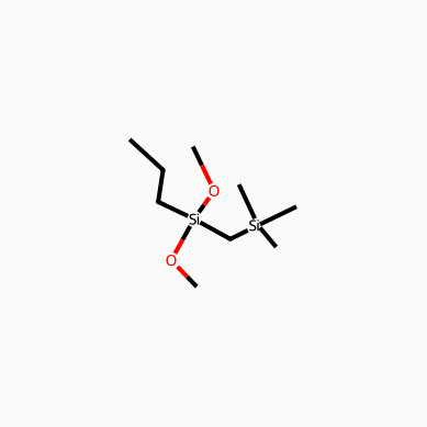 CCC[Si](C[Si](C)(C)C)(OC)OC